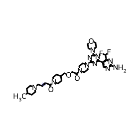 CC1CCN(C/C=C/C(=O)N2CCC(COCC(=O)N3CCN(c4nc(-c5cnc(N)nc5C(F)F)nc(N5CCOCC5)n4)CC3)CC2)CC1